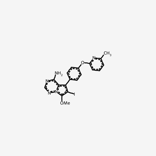 COc1c(I)c(-c2ccc(Oc3cccc(C)n3)cc2)c2c(N)ncnn12